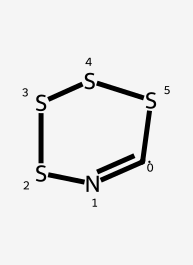 [c]1nssss1